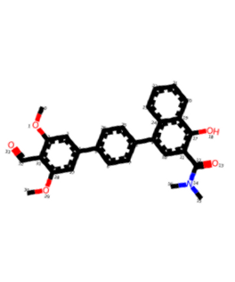 COc1cc(-c2ccc(-c3cc(C(=O)N(C)C)c(O)c4ccccc34)cc2)cc(OC)c1C=O